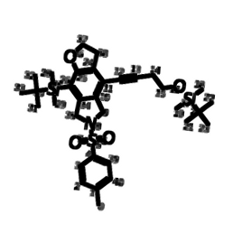 Cc1ccc(S(=O)(=O)N2Cc3c(C#CCCO[Si](C)(C)C(C)(C)C)c4c(c([Si](C)(C)C(C)(C)C)c3C2)OCC4)cc1